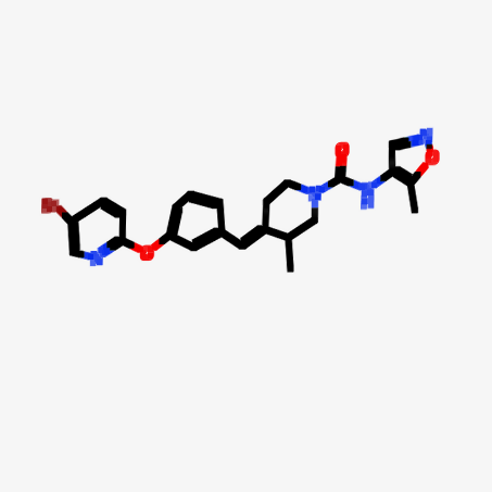 Cc1oncc1NC(=O)N1CC/C(=C\c2cccc(Oc3ccc(Br)cn3)c2)C(C)C1